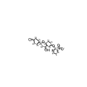 O=[N+]([O-])c1cccnc1Oc1ccc2c(c1)C(O)C[C@@H](c1ccc(Cl)cc1)O2